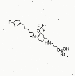 O=[PH](O)OCCCNCc1ccc(NCCCCCc2ccc(F)cc2)c(OC(F)(F)F)c1